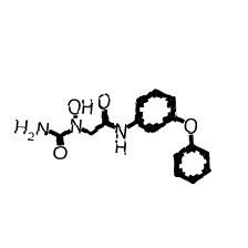 NC(=O)N(O)CC(=O)Nc1cccc(Oc2ccccc2)c1